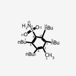 CCCCc1c(C)c(CCCC)c(CCCC)c(S(N)(=O)=O)c1CCCC